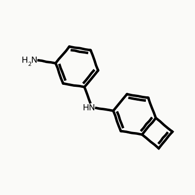 Nc1cccc(Nc2ccc3c(c2)C=C3)c1